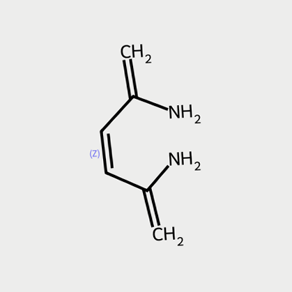 C=C(N)/C=C\C(=C)N